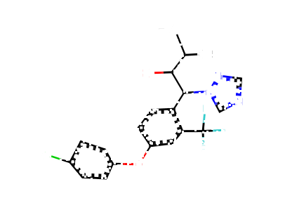 CC(C)C(O)C(c1ccc(Oc2ccc(Cl)cc2)cc1C(F)(F)F)n1cncn1